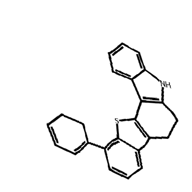 C1=CCCC(c2cccc3c4c(sc23)-c2c([nH]c3ccccc23)CC4)=C1